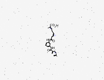 C=C(C)/C=C\C(=C)C(=O)Nc1cccc(NC(=O)C/C=C\C/C=C(\C)C(=O)O)c1